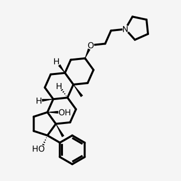 C[C@]12CC[C@H](OCCN3CCCC3)C[C@H]1CC[C@@H]1[C@@H]2CC[C@]2(C)[C@@](O)(c3ccccc3)CC[C@]12O